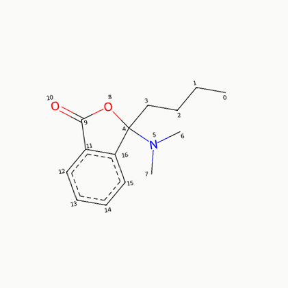 CCCCC1(N(C)C)OC(=O)c2ccccc21